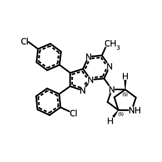 Cc1nc(N2C[C@@H]3C[C@H]2CN3)n2nc(-c3ccccc3Cl)c(-c3ccc(Cl)cc3)c2n1